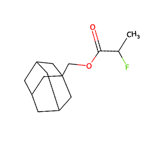 CC(F)C(=O)OCC12CC3CC(CC(C3)C1)C2